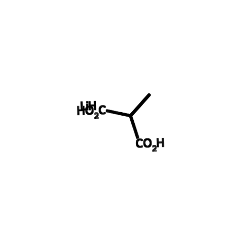 CC(C(=O)O)C(=O)O.[LiH]